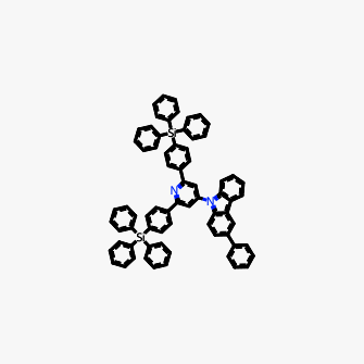 c1ccc(-c2ccc3c(c2)c2ccccc2n3-c2cc(-c3ccc([Si](c4ccccc4)(c4ccccc4)c4ccccc4)cc3)nc(-c3ccc([Si](c4ccccc4)(c4ccccc4)c4ccccc4)cc3)c2)cc1